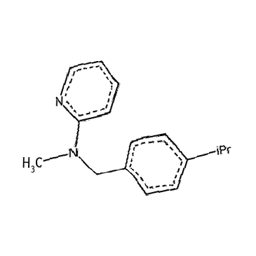 CC(C)c1ccc(CN(C)c2ccccn2)cc1